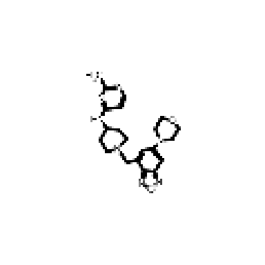 Cc1nccc(NC2CCN(Cc3cc(N4CCOCC4)cc4nonc34)CC2)n1